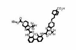 [2H]C([2H])([2H])n1c(C(=O)Nc2cccc(-c3cccc(NC(=O)c4nc5c(n4C([2H])([2H])[2H])CCN(CCC46CCC(C(=O)O)(CC4)C6)C5)c3Cl)c2F)nc2c1CCN(C(=O)OC(C)(C)C)C2